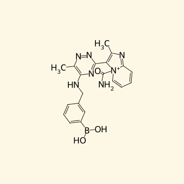 CC1=C(c2nnc(C)c(NCc3cccc(B(O)O)c3)n2)[N+]2(C(N)=O)C=CC=CC2=N1